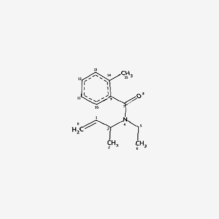 C=CC(C)N(CC)C(=O)c1ccccc1C